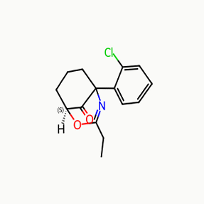 CCC1=NC2(c3ccccc3Cl)CCC[C@H](O1)C2=O